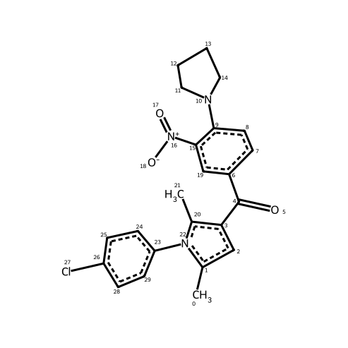 Cc1cc(C(=O)c2ccc(N3CCCC3)c([N+](=O)[O-])c2)c(C)n1-c1ccc(Cl)cc1